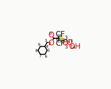 O=C(OCC1CCCCC1)C(SOOO)(C(F)(F)F)C(F)(F)F